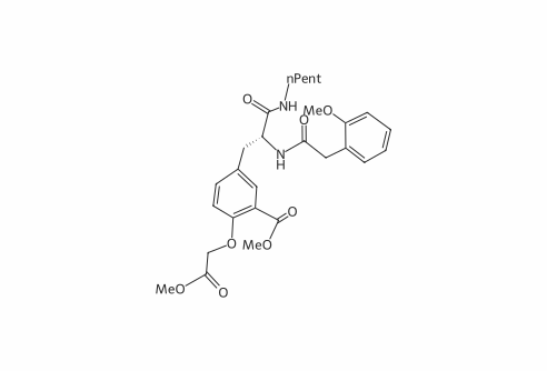 CCCCCNC(=O)[C@@H](Cc1ccc(OCC(=O)OC)c(C(=O)OC)c1)NC(=O)Cc1ccccc1OC